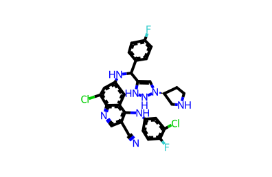 N#Cc1cnc2c(Cl)cc(NC(C3=CN([C@@H]4CCNC4)NN3)c3ccc(F)cc3)cc2c1Nc1ccc(F)c(Cl)c1